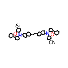 C[Si](C)(C)c1ccc(N(c2ccc3cc(/C=C/c4ccc5cc(N(c6ccc(C#N)cc6)c6cccc7c6oc6ccccc67)ccc5c4)ccc3c2)c2cccc3c2oc2ccccc23)cc1